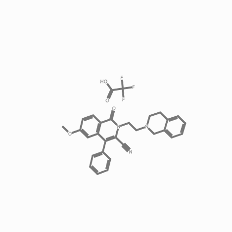 COc1ccc2c(=O)n(CCN3CCc4ccccc4C3)c(C#N)c(-c3ccccc3)c2c1.O=C(O)C(F)(F)F